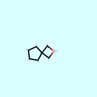 [CH]1OCC12CCCC2